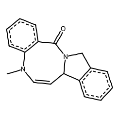 CN1C=CC2c3ccccc3CN2C(=O)c2ccccc21